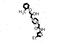 CCc1csc(NC(=O)CN2CCN(CC(O)COc3ccccc3C)CC2)c1